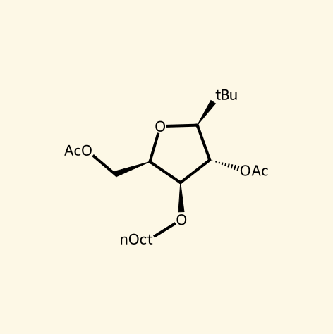 CCCCCCCCO[C@@H]1[C@@H](OC(C)=O)[C@H](C(C)(C)C)O[C@@H]1COC(C)=O